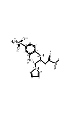 CN(C)C(=O)CC(C[SH]1C=CC=C1)Nc1ccc(S(N)(=O)=O)cc1[N+](=O)[O-]